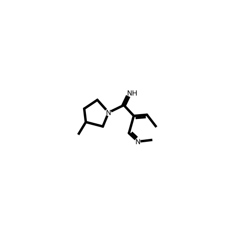 C/C=C(\C=N/C)C(=N)N1CCC(C)C1